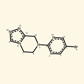 Brc1cnc(N2CCn3cnnc3C2)nc1